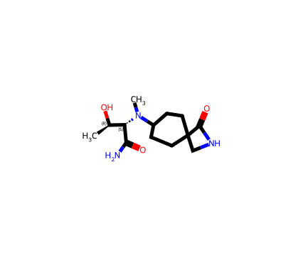 C[C@@H](O)[C@@H](C(N)=O)N(C)C1CCC2(CC1)CNC2=O